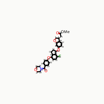 COC(=O)C[C@@H]1COc2cc(OC3CCc4c(Oc5ccc(C(=O)N6CCOCC6)cc5)ccc(F)c43)ccc21